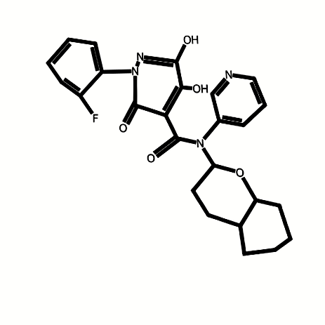 O=C(c1c(O)c(O)nn(-c2ccccc2F)c1=O)N(c1cccnc1)C1CCC2CCCCC2O1